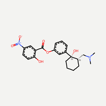 CN(C)C[C@@H]1CCCC[C@@]1(O)c1cccc(OC(=O)c2cc([N+](=O)[O-])ccc2O)c1